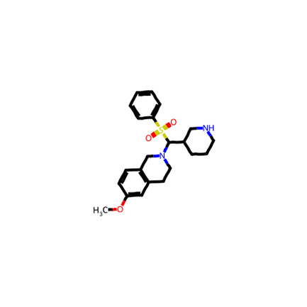 COc1ccc2c(c1)CCN(C(C1CCCNC1)S(=O)(=O)c1ccccc1)C2